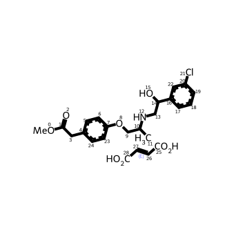 COC(=O)Cc1ccc(OCC(C)NCC(O)c2cccc(Cl)c2)cc1.O=C(O)/C=C/C(=O)O